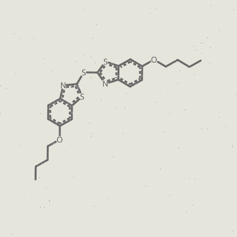 CCCCOc1ccc2nc(Sc3nc4ccc(OCCCC)cc4s3)sc2c1